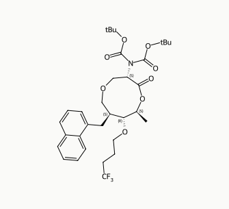 C[C@@H]1OC(=O)[C@@H](N(C(=O)OC(C)(C)C)C(=O)OC(C)(C)C)COC[C@H](Cc2cccc3ccccc23)[C@H]1OCCCC(F)(F)F